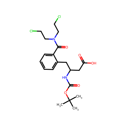 CC(C)(C)OC(=O)NC(CC(=O)O)Cc1ccccc1C(=O)N(CCCl)CCCl